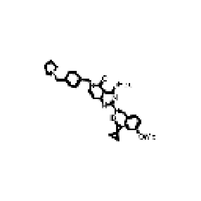 CCCCCCc1nc(N(BC2CC23CC3)Cc2ccc(OC)cc2)nc2ccn(Cc3ccc(CN4CCCC4)cc3)c(=O)c12